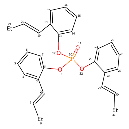 CC/C=C/c1ccccc1OP(=O)(Oc1ccccc1/C=C/CC)Oc1ccccc1/C=C/CC